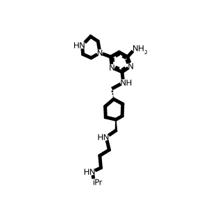 CC(C)NCCCNC[C@H]1CC[C@H](CNc2nc(N)cc(N3CCNCC3)n2)CC1